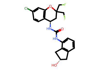 O=C(Nc1cccc2c1C[C@@H](O)C2)N[C@@H]1CC(CF)(CF)Oc2cc(Cl)ccc21